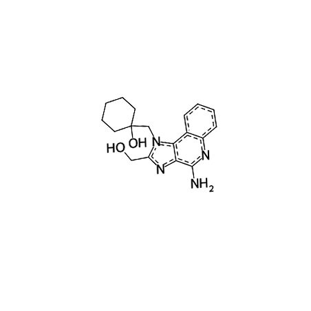 Nc1nc2ccccc2c2c1nc(CO)n2CC1(O)CCCCC1